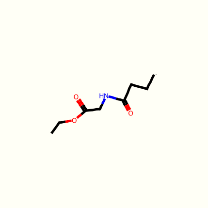 [CH2]CCC(=O)NCC(=O)OCC